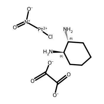 N[C@@H]1CCCC[C@H]1N.O=C([O-])C(=O)[O-].O=[N+]([O-])[Pt+2][Cl]